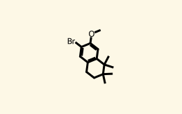 COc1cc2c(cc1Br)CCC(C)(C)C2(C)C